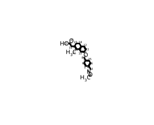 CON=Cc1ccc(COc2ccc3c(c2)C(C)=C(CC(=O)O)CC3)cc1